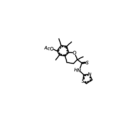 CC(=O)Oc1c(C)c(C)c2c(c1C)CCC(C)(C(=S)Nc1nccs1)O2